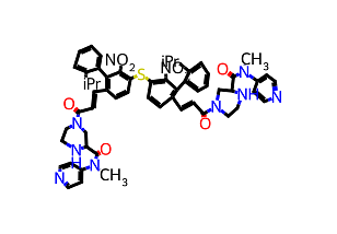 CC(C)c1ccccc1-c1c(/C=C/C(=O)N2CCNC(C(=O)N(C)c3ccncc3)C2)ccc(Sc2ccc(/C=C/C(=O)N3CCNC(C(=O)N(C)c4ccncc4)C3)c(-c3ccccc3C(C)C)c2[N+](=O)[O-])c1[N+](=O)[O-]